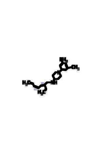 C=C/C=C\C=C(/C=C)CNC1CCN(c2cc(C)cc(N)c2)CC1